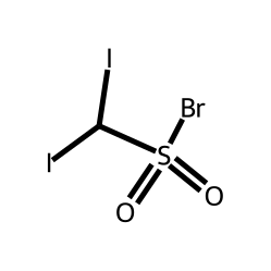 O=S(=O)(Br)C(I)I